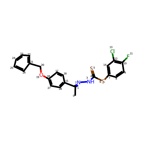 C/C(=N\NC(=S)Sc1ccc(F)c(Cl)c1)c1ccc(OCc2ccccc2)cc1